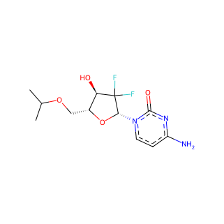 CC(C)OC[C@H]1O[C@@H](n2ccc(N)nc2=O)C(F)(F)[C@@H]1O